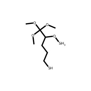 COC(OC)(OC)C(CCCS)O[SiH3]